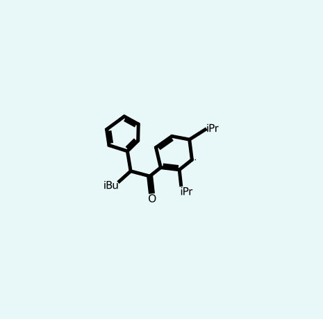 CCC(C)C(C(=O)C1=C(C(C)C)[CH]C(C(C)C)C=C1)c1ccccc1